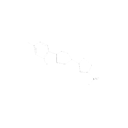 NC(=O)N1CC[C](C2CCC(c3ccc(F)cc3O)CC2)C1